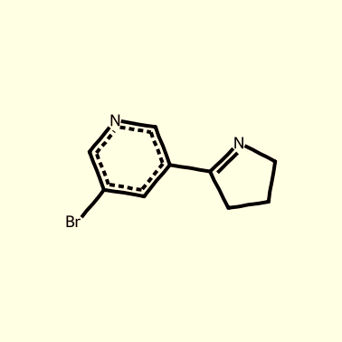 Brc1cncc(C2=NCCC2)c1